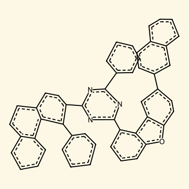 c1ccc(-c2nc(-c3ccc4ccc5ccccc5c4c3-c3ccccc3)nc(-c3cccc4oc5ccc(-c6ccc7ccccc7c6)cc5c34)n2)cc1